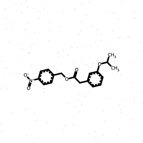 CC(C)Oc1cccc(CC(=O)OCc2ccc([N+](=O)[O-])cc2)c1